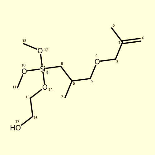 C=C(C)COCC(C)C[Si](OC)(OC)OCCO